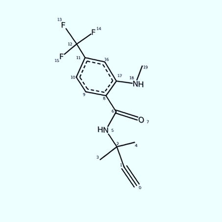 C#CC(C)(C)NC(=O)c1ccc(C(F)(F)F)cc1NC